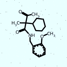 COc1ccccc1CNC(=O)C(C)(C(C)=O)C1CCCCC1